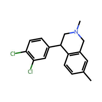 Cc1ccc2c(c1)CN(C)CC2c1ccc(Cl)c(Cl)c1